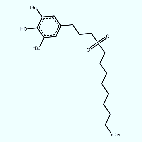 CCCCCCCCCCCCCCCCCCS(=O)(=O)CCCc1cc(C(C)(C)C)c(O)c(C(C)(C)C)c1